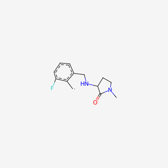 [CH2]c1c(F)cccc1CNC1CCN(C)C1=O